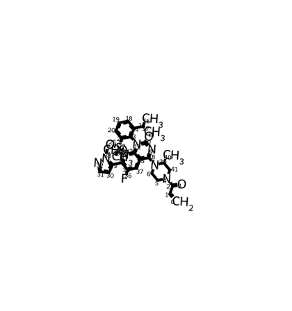 C=CC(=O)N1CCN(c2nc(=O)n(-c3c(C(C)C)cccc3S(C)(=O)=O)c3nc(-c4ccnn4C)c(F)cc23)[C@@H](C)C1